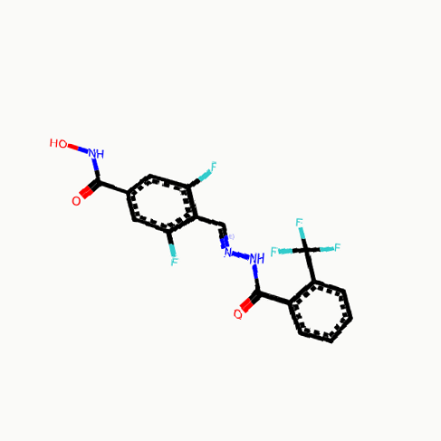 O=C(NO)c1cc(F)c(/C=N/NC(=O)c2ccccc2C(F)(F)F)c(F)c1